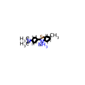 Cc1ccc2nc(-c3ccc(N(C)C)cc3)sc2c1.N